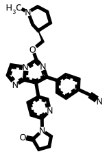 CN1CCC[C@@H](COc2nc(-c3ccc(C#N)cc3)c(-c3ccc(N4CCCC4=O)nc3)c3nccn23)C1